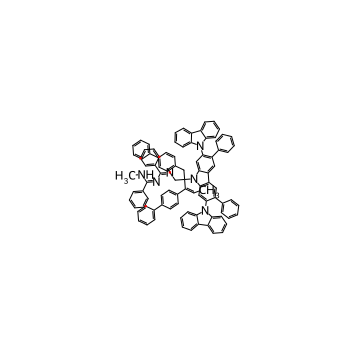 C/C=C(/c1ccc(-c2ccccc2)cc1)C(C/N=C(\N=C(/NC)c1ccccc1)c1ccccc1)(Cc1ccc(-c2ccccc2)cc1)n1c2cc(-n3c4ccccc4c4ccccc43)c(-c3ccccc3)cc2c2cc(-c3ccccc3)c(-n3c4ccccc4c4ccccc43)cc21